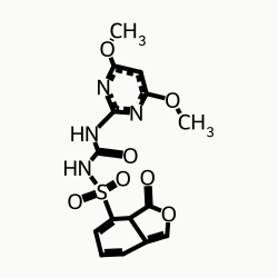 COc1cc(OC)nc(NC(=O)NS(=O)(=O)C2=CC=CC3=COC(=O)C32)n1